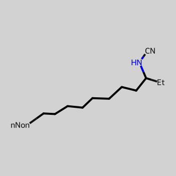 CCCCCCCCCCCCCCCCCC(CC)NC#N